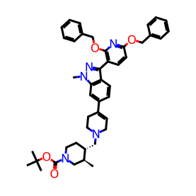 C[C@H]1CN(C(=O)OC(C)(C)C)CC[C@@H]1CN1CC=C(c2ccc3c(-c4ccc(OCc5ccccc5)nc4OCc4ccccc4)nn(C)c3c2)CC1